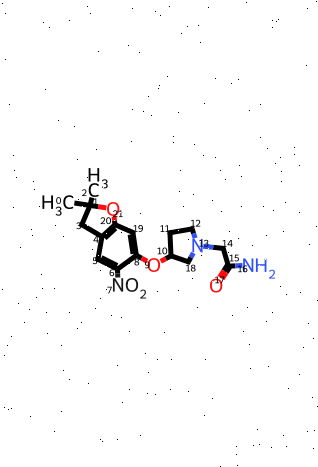 CC1(C)Cc2cc([N+](=O)[O-])c(OC3CCN(CC(N)=O)C3)cc2O1